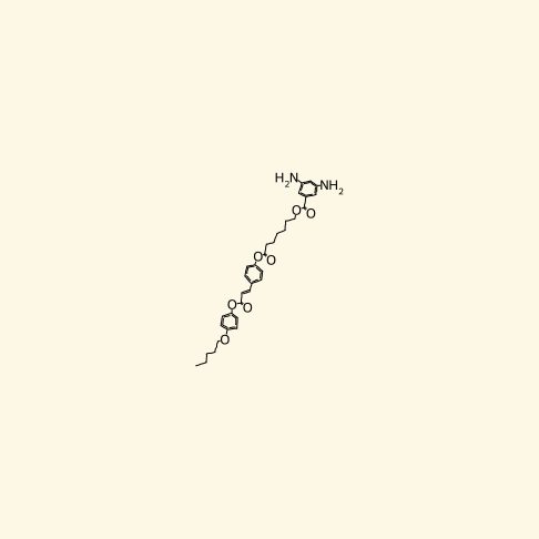 CCCCCOc1ccc(OC(=O)C=Cc2ccc(OC(=O)CCCCCCOC(=O)c3cc(N)cc(N)c3)cc2)cc1